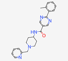 Cc1ccccc1-c1ncc(C(=O)NC2CCN(Cc3ccccn3)CC2)cn1